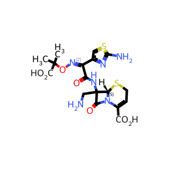 CC(C)(O/N=C(\C(=O)NC1(CN)C(=O)N2C(C(=O)O)=CCS[C@H]21)c1csc(N)n1)C(=O)O